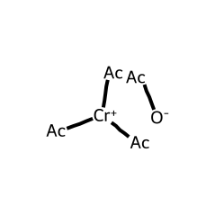 CC(=O)[O-].C[C](=O)[Cr+]([C](C)=O)[C](C)=O